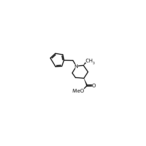 COC(=O)[C@H]1CCN(Cc2ccccc2)[C@@H](C)C1